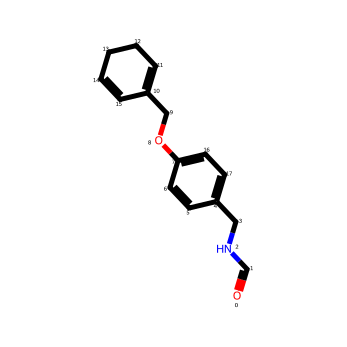 O=CNCc1ccc(OCC2=CCCC=C2)cc1